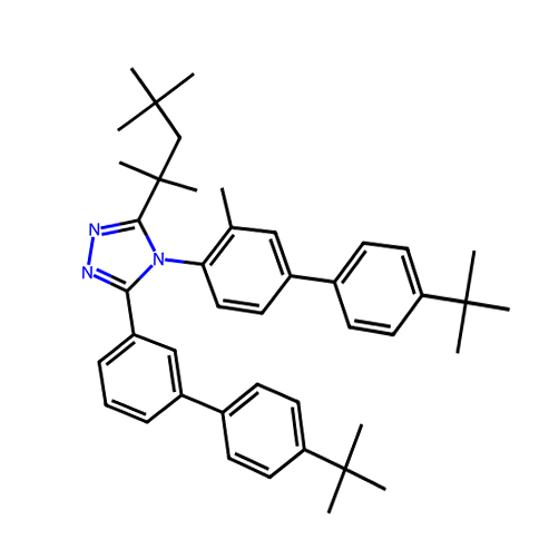 Cc1cc(-c2ccc(C(C)(C)C)cc2)ccc1-n1c(-c2cccc(-c3ccc(C(C)(C)C)cc3)c2)nnc1C(C)(C)CC(C)(C)C